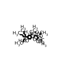 CCC[CH2][Sn]([CH2]CCC)([CH2]CCC)[c]1cc(OC)c([C@H]2O[C@@H](C)[C@@H](OC(C)=O)[C@@H](OC(C)=O)[C@@H]2OC(C)=O)cc1OC